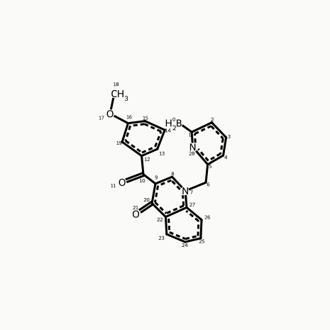 Bc1cccc(Cn2cc(C(=O)c3cccc(OC)c3)c(=O)c3ccccc32)n1